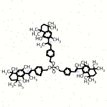 C/C(=C\c1ccc(COP(=O)(OCc2ccc(/C=C(\C)c3c(C)cc4c(c3O)C(C)(C)CCC4(C)C)cc2)OCc2ccc(/C=C(\C)c3c(C)cc4c(c3O)C(C)(C)CCC4(C)C)cc2)cc1)c1c(C)cc2c(c1O)C(C)(C)CCC2(C)C